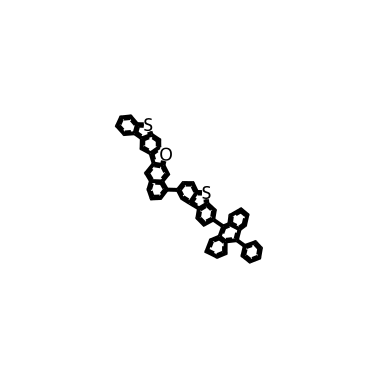 c1ccc(-c2c3ccccc3c(-c3ccc4c(c3)sc3ccc(-c5cccc6cc7c(cc56)oc5cc6sc8ccccc8c6cc57)cc34)c3ccccc23)cc1